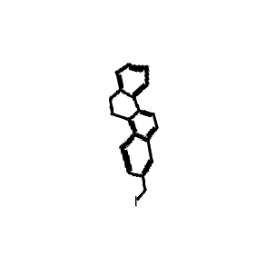 ICc1ccc2c3c(ccc2c1)-c1ccccc1CC3